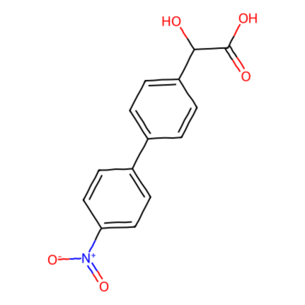 O=C(O)C(O)c1ccc(-c2ccc([N+](=O)[O-])cc2)cc1